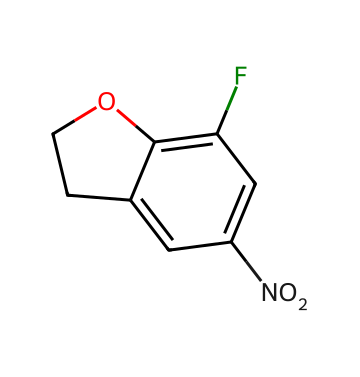 O=[N+]([O-])c1cc(F)c2c(c1)CCO2